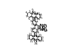 CN1c2ccccc2N(c2ccc3c(c2)c2c(c4cc(N5c6ccccc6N(C)c6ccccc65)ccc43)=NS(=O)(=O)N=2)c2ccccc21